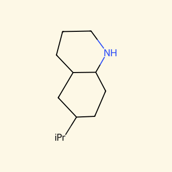 CC(C)C1CCC2NCCCC2C1